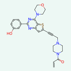 C=CC(=O)N1CCN(CC#Cc2cc3nc(-c4cccc(O)c4)nc(N4CCOCC4)c3s2)CC1